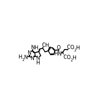 CC(Cc1ccc(C(=O)N[C@@H](CCC(=O)O)C(=O)O)cc1)CC1CNc2nc(N)nc(N)c21